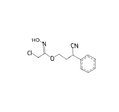 N#CC(CCOC(CCl)=NO)c1ccccc1